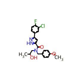 COc1ccc(CN(CC(C)O)C(=O)c2cc(-c3ccc(F)c(Cl)c3)n[nH]2)cc1